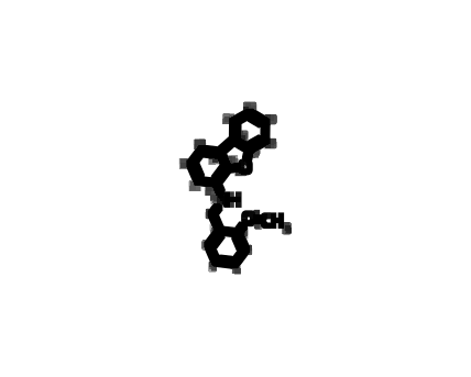 COc1ccccc1CNc1cccc2c1oc1ccccc12